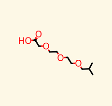 CC(C)COCCOCCOCC(=O)O